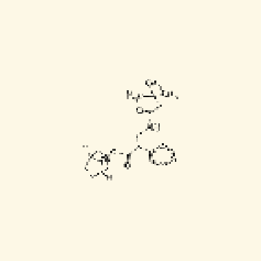 CN1[C@@H]2CC[C@H]1C[C@@H](OC(=O)C(CNC(=O)CC(C)(C)C)c1ccccc1)C2